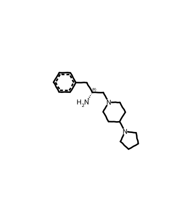 N[C@H](Cc1ccccc1)CN1CCC(N2CCCC2)CC1